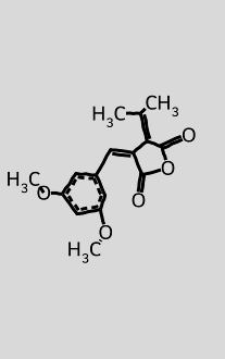 COc1cc(C=C2C(=O)OC(=O)C2=C(C)C)cc(OC)c1